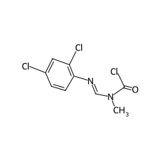 CN(C=Nc1ccc(Cl)cc1Cl)C(=O)Cl